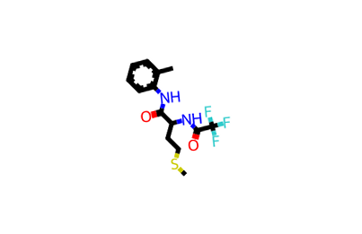 CSCCC(NC(=O)C(F)(F)F)C(=O)Nc1ccccc1C